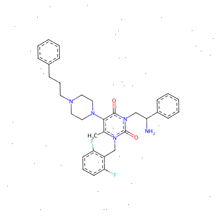 Cc1c(N2CCN(CCCc3ccccc3)CC2)c(=O)n(CC(N)c2ccccc2)c(=O)n1Cc1c(F)cccc1F